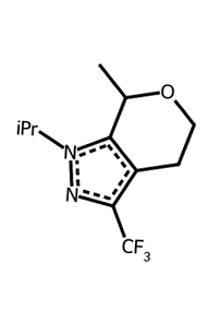 CC1OCCc2c(C(F)(F)F)nn(C(C)C)c21